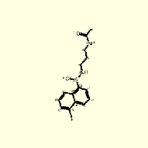 CC(=O)NCCCN[S+]([O-])c1cccc2c(C)cccc12